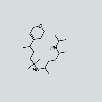 CC(C)NC(C)CCC(C)NC(C)(C)CCC(C)C1=CCOCC1